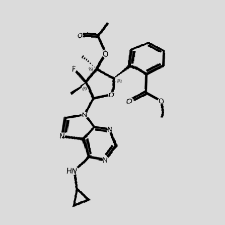 COC(=O)c1ccccc1[C@H]1OC(n2cnc3c(NC4CC4)ncnc32)[C@](C)(F)[C@@]1(C)OC(C)=O